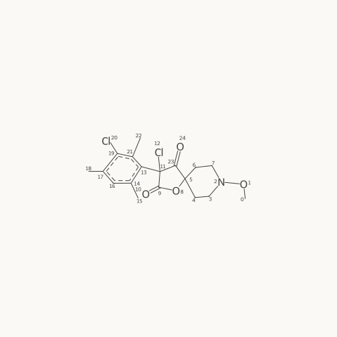 CON1CCC2(CC1)OC(=O)C(Cl)(c1c(C)cc(C)c(Cl)c1C)C2=O